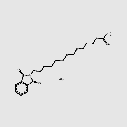 Br.N=C(N)SCCCCCCCCCCCCN1C(=O)c2ccccc2C1=O